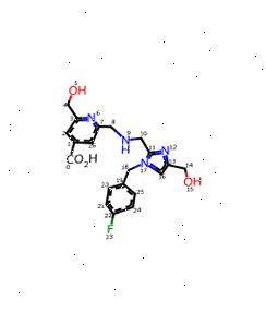 O=C(O)c1cc(CO)nc(CNCc2nc(CO)cn2Cc2ccc(F)cc2)c1